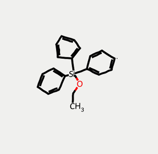 CCO[Si](c1cc[c]cc1)(c1ccccc1)c1ccccc1